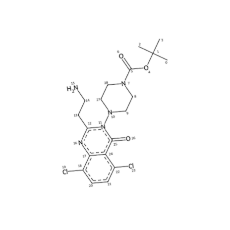 CC(C)(C)OC(=O)N1CCN(n2c(CCN)nc3c(Cl)ccc(Cl)c3c2=O)CC1